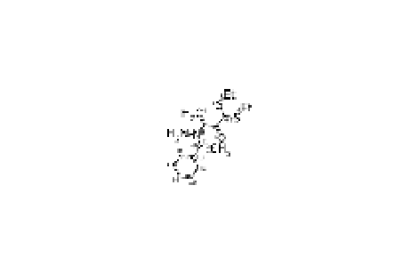 C=C(C(=O)C(SCC)SCC)N(N)[C@H](C)c1ccccc1